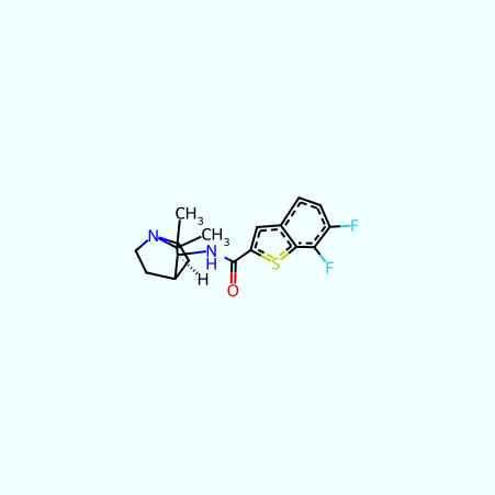 CC1(C)[C@@H](NC(=O)c2cc3ccc(F)c(F)c3s2)C2CCN1CC2